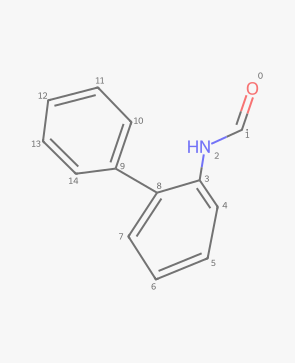 O=[C]Nc1ccccc1-c1ccccc1